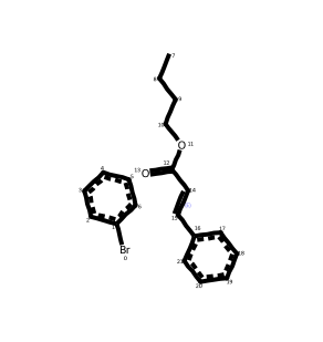 Brc1ccccc1.CCCCOC(=O)/C=C/c1ccccc1